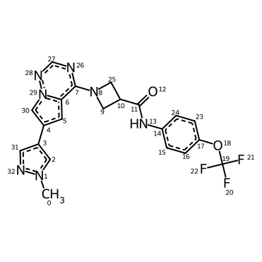 Cn1cc(-c2cc3c(N4CC(C(=O)Nc5ccc(OC(F)(F)F)cc5)C4)ncnn3c2)cn1